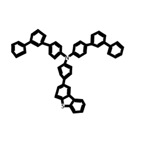 c1ccc(-c2cccc(-c3ccc(N(c4ccc(-c5cccc(-c6ccccc6)c5)cc4)c4ccc(-c5ccc6sc7ccccc7c6c5)cc4)cc3)c2)cc1